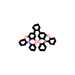 c1ccc2c(c1)Oc1cc(-c3ccccc3-c3cc4c5c(c3)Oc3ccccc3N5c3ccccc3O4)cc3c1B2c1ccccc1O3